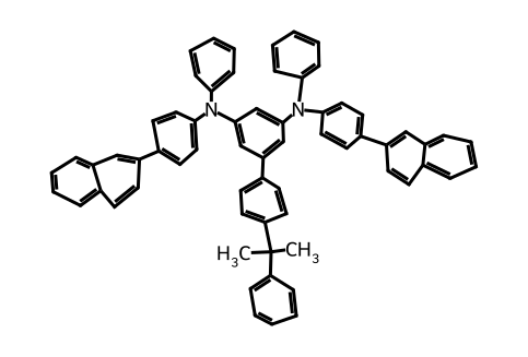 CC(C)(c1ccccc1)c1ccc(-c2cc(N(c3ccccc3)c3ccc(-c4ccc5ccccc5c4)cc3)cc(N(c3ccccc3)c3ccc(-c4ccc5ccccc5c4)cc3)c2)cc1